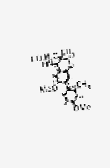 COc1ccc(-c2cc3c(cc2OC)C(NC(=O)O)C(C)(C)CO3)c(C)c1